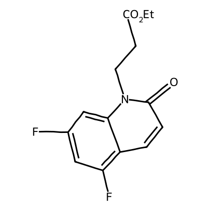 CCOC(=O)CCn1c(=O)ccc2c(F)cc(F)cc21